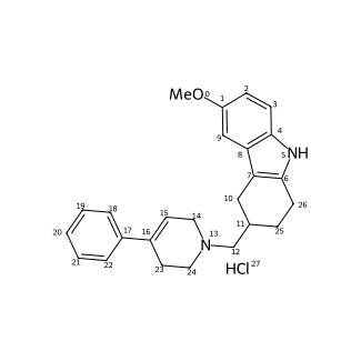 COc1ccc2[nH]c3c(c2c1)CC(CN1CC=C(c2ccccc2)CC1)CC3.Cl